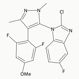 COc1cc(F)c(-c2c(C)nn(C)c2-n2c(Cl)nc3cc(F)ccc32)c(F)c1